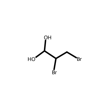 OC(O)C(Br)CBr